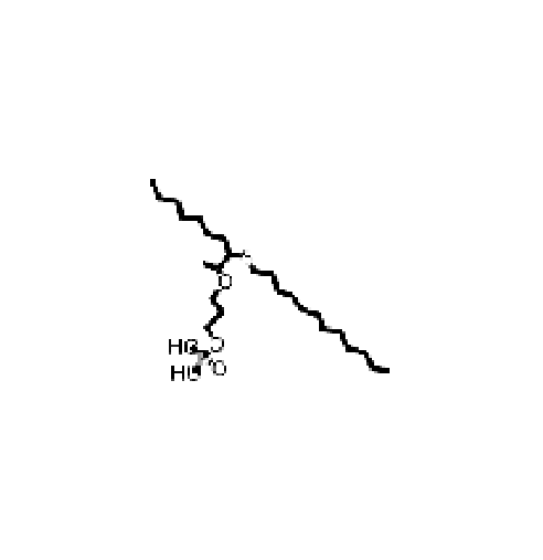 CCCCCCCCCCCCSC(CCCCCCC)C(C)OCCCOP(=O)(O)O